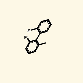 Brc1ccccc1-c1c(Br)cccc1I